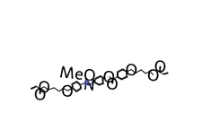 C=CC(=O)OCCCCOc1ccc(/C=N/c2ccc(OC(=O)c3ccc(OCCCCOC(=O)C=C)cc3)cc2OC)cc1